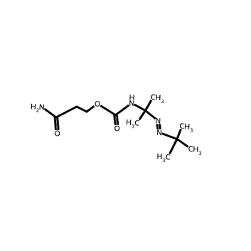 CC(C)(C)N=NC(C)(C)NC(=O)OCCC(N)=O